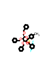 Cc1ccc([C@]2(SC(=O)c3cc(F)ccc3F)O[C@H](COCc3ccccc3)[C@@H](OCc3ccccc3)[C@H](OCc3ccccc3)[C@@H]2O)cc1